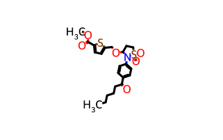 CCCCCC(=O)c1ccc(N2C(OCc3ccc(C(=O)OC)s3)CCS2(=O)=O)cc1